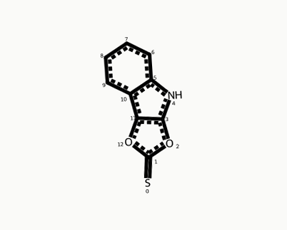 S=c1oc2[nH]c3ccccc3c2o1